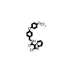 CCc1nc2ccccn2c1C(=O)NCc1ccc(Oc2ccc(OC(F)(F)F)cc2)cc1